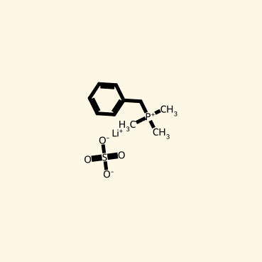 C[P+](C)(C)Cc1ccccc1.O=S(=O)([O-])[O-].[Li+]